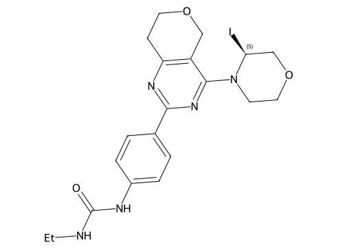 CCNC(=O)Nc1ccc(-c2nc3c(c(N4CCOC[C@@H]4I)n2)COCC3)cc1